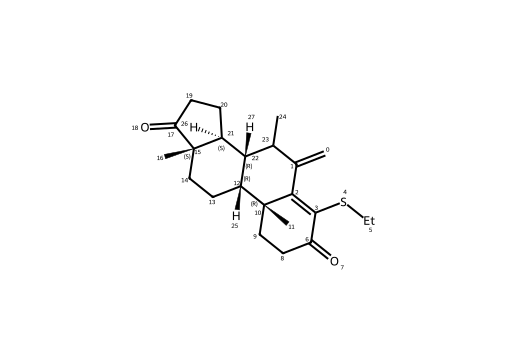 C=C1C2=C(SCC)C(=O)CC[C@]2(C)[C@@H]2CC[C@]3(C)C(=O)CC[C@H]3[C@@H]2C1C